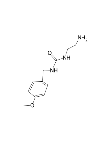 COc1ccc(CNC(=O)NCCN)cc1